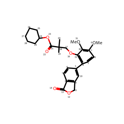 COc1ccc(-c2ccc3c(c2)COC3=O)c(OCC(C)(C)C(=O)OC2CCCCC2)c1OC